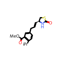 COC(=O)c1cc(CC=C[C@H]2CSC(=O)N2)ccc1C(C)C